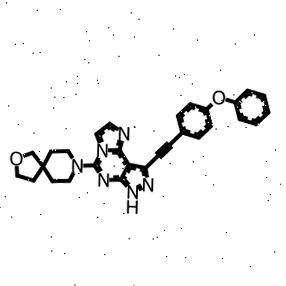 C(#Cc1n[nH]c2nc(N3CCC4(CCOC4)CC3)n3ccnc3c12)c1ccc(Oc2ccccc2)cc1